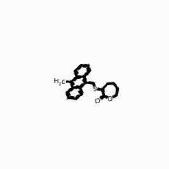 Cc1c2ccccc2c(CSC2CCCCOC2=O)c2ccccc12